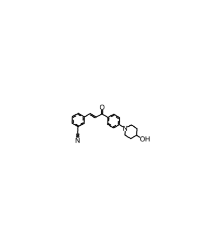 N#Cc1cccc(C=CC(=O)c2ccc(N3CCC(O)CC3)cc2)c1